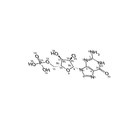 Nc1nc2c(ncn2[C@@H]2O[C@H](COP(=O)(O)O)[C@@H](O)[C@H]2Cl)c(=O)[nH]1